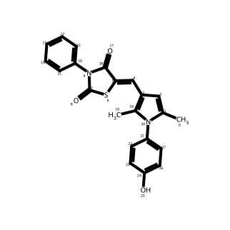 Cc1cc(C=C2SC(=O)N(c3ccccc3)C2=O)c(C)n1-c1ccc(O)cc1